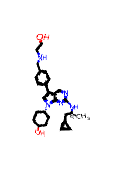 C[C@@H](CC1CC1)Nc1ncc2c(-c3ccc(CNCCO)cc3)cn([C@H]3CC[C@H](O)CC3)c2n1